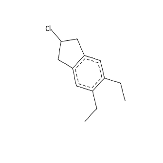 CCc1cc2c(cc1CC)CC(Cl)C2